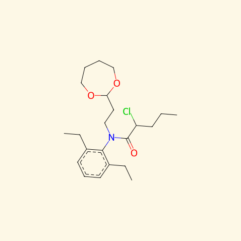 CCCC(Cl)C(=O)N(CCC1OCCCCO1)c1c(CC)cccc1CC